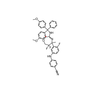 COc1ccc(C(NC2=NC(C)(c3cc(Nc4ccc(C#N)cc4)ccc3F)C(F)(F)COC2)(c2ccccc2)c2ccc(OC)cc2)cc1